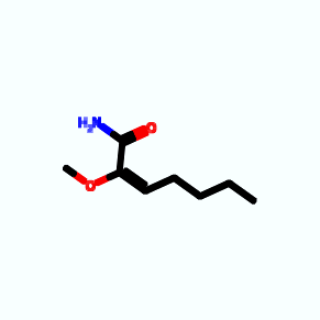 CCCC/C=C(/OC)C(N)=O